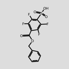 O=C(OCc1ccccc1)c1c(F)c(F)c(S(=O)(=O)O)c(F)c1F